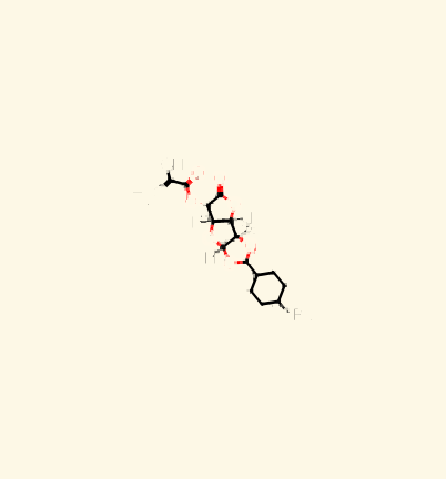 C=C(C)C(=O)O[C@@H]1C(=O)O[C@@H]2[C@H]3OC(C4CCC(C(C)(C)C)CC4)O[C@H]3O[C@@H]21